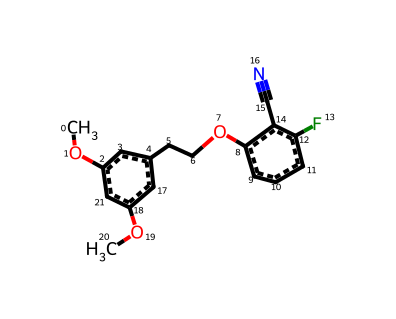 COc1cc(CCOc2cccc(F)c2C#N)cc(OC)c1